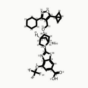 O=C(O)c1cc(OC(F)(F)F)c2nc(N3C[C@@H]4C[C@H]3C[C@H]4OCc3c(C4CCCCC4)noc3C34CC3C4)sc2c1